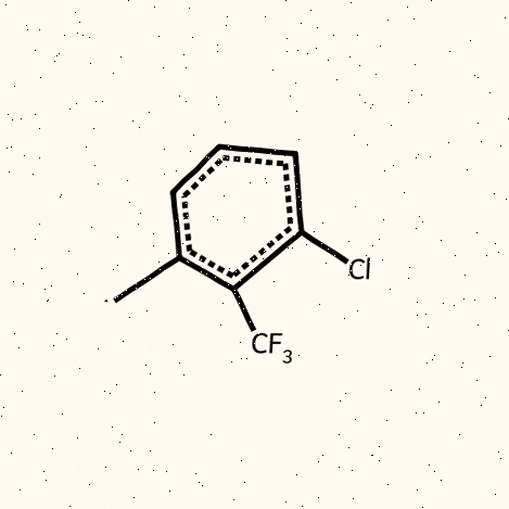 [CH2]c1cccc(Cl)c1C(F)(F)F